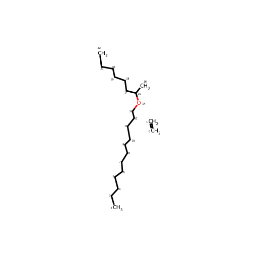 C=C.CCCCCCCCCCCCOC(C)CCCCCC